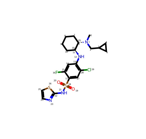 CN(CC1CC1)[C@H]1CCCC[C@@H]1Nc1cc(F)c(S(=O)(=O)Nc2nccs2)cc1Cl